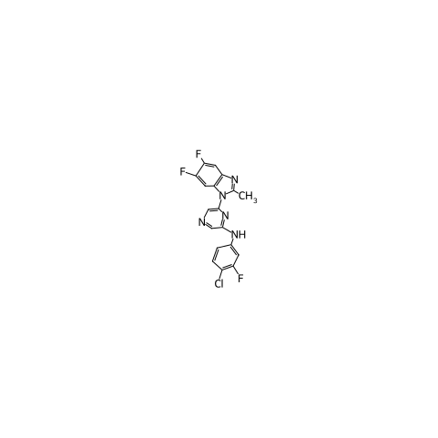 Cc1nc2cc(F)c(F)cc2n1-c1cncc(Nc2ccc(Cl)c(F)c2)n1